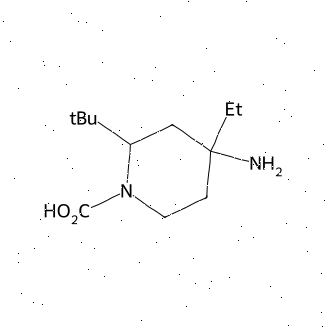 CCC1(N)CCN(C(=O)O)C(C(C)(C)C)C1